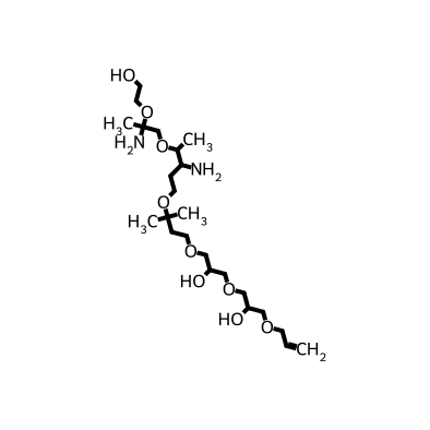 C=CCOCC(O)COCC(O)COCCC(C)(C)OCCC(N)C(C)OCC(C)(N)OCCO